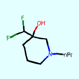 CCCN1CCCC(O)(C(F)F)C1